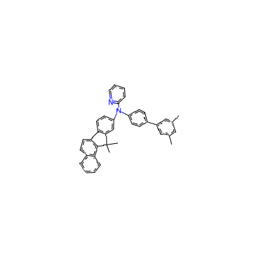 Cc1cc(C)cc(-c2ccc(N(c3ccc4c(c3)C(C)(C)c3c-4ccc4ccccc34)c3ccccn3)cc2)c1